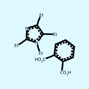 CCc1nc(CC)n(CC)c1CC.O=C(O)c1ccccc1C(=O)O